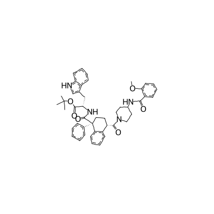 COc1ccccc1C(=O)NC1CCN(C(=O)[C@H]2CC[C@@](C(=O)N[C@@H](Cc3c[nH]c4ccccc34)C(=O)OC(C)(C)C)(c3ccccc3)c3ccccc32)CC1